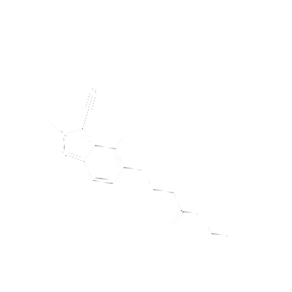 CCOC(=O)CCSc1ccc2nn(C)c(C#N)c2c1Cl